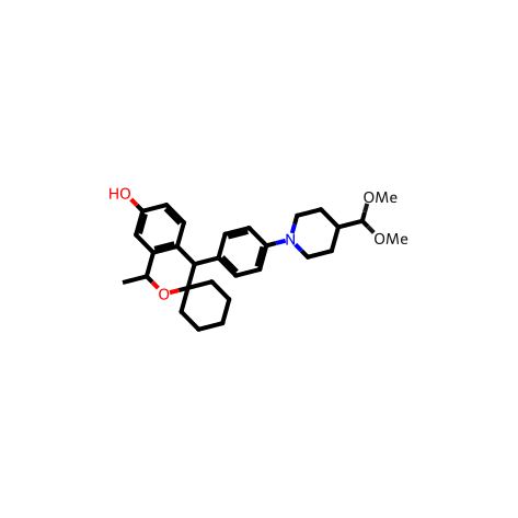 COC(OC)C1CCN(c2ccc(C3c4ccc(O)cc4C(C)OC34CCCCC4)cc2)CC1